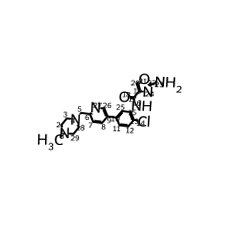 CN1CCN(Cc2ccc(-c3ccc(Cl)c(NC(=O)c4coc(N)n4)c3)cn2)CC1